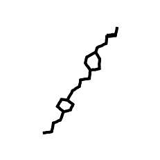 CC=CCCC1CCC(CCCCC2CCC(CCCC)CC2)CC1